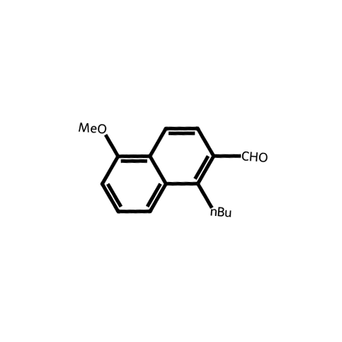 CCCCc1c(C=O)ccc2c(OC)cccc12